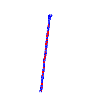 N=N/N=N/N=N/N=N/N=N/N=N/N=N/N=N/N=N/N=N/N=N/N=N/N=N/N=N/N=N/N=N/N=N/N=N/N=N/N=N/N=N/N=N/N=N/N=N/N=N/N=N/N=N/N=N/N=N/N=N/N=N/N=N/N=N/N=N/N=N/N=N/N=N/N=N/N=N/N=N/N=N/N=N/N=N/N=N/N=N/N=N/N=N